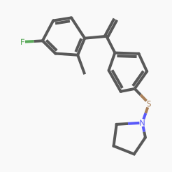 C=C(c1ccc(SN2CCCC2)cc1)c1ccc(F)cc1C